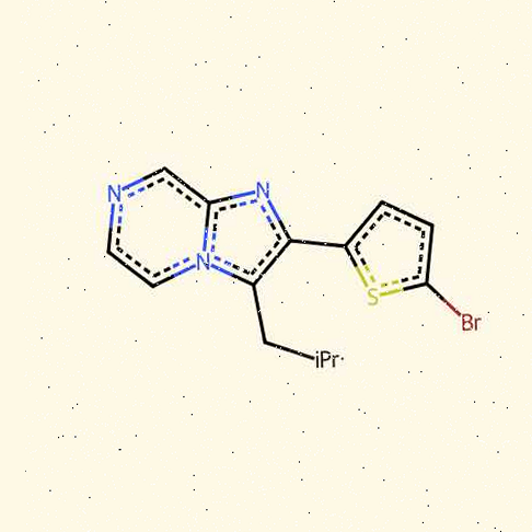 C[C](C)Cc1c(-c2ccc(Br)s2)nc2cnccn12